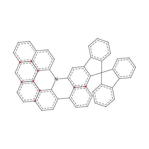 c1ccc(-c2cccc(-c3ccccc3)c2N(c2ccc3c(c2)-c2ccccc2C32c3ccccc3-c3ccccc32)c2ccc3ccccc3c2-c2ccccc2)cc1